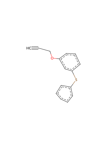 C#CCOc1cccc(Sc2ccccc2)c1